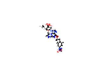 CC[C@H]1O[C@@H](n2cnc3c(OCCc4ccc([N+](=O)[O-])cc4)nc4nccn4c32)[C@H](O)[C@@H]1O